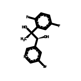 C[C@@](O)(c1cc(F)ccc1F)[C@H](O)c1cncc(Br)c1